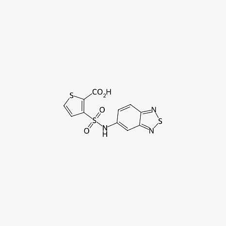 O=C(O)c1sccc1S(=O)(=O)Nc1ccc2nsnc2c1